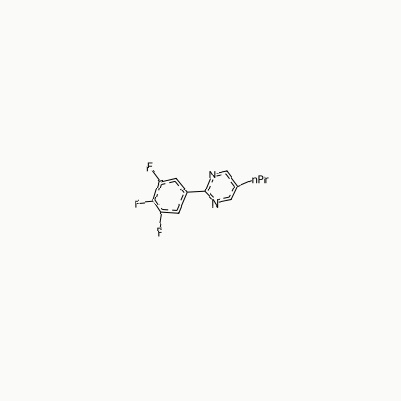 CCCc1cnc(-c2cc(F)c(F)c(F)c2)nc1